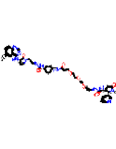 CN1C(=O)C[C@H](C(=O)NCCOCCOCCOCCC(=O)NC[C@H]2CC[C@H](C(=O)NCCN3CC[C@H](Nc4ncnc5ccc(C(F)(F)F)cc45)C3=O)CC2)[C@H]1c1cccnc1